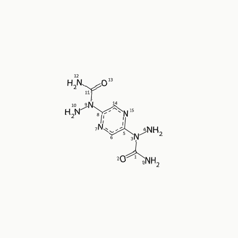 NC(=O)N(N)c1cnc(N(N)C(N)=O)cn1